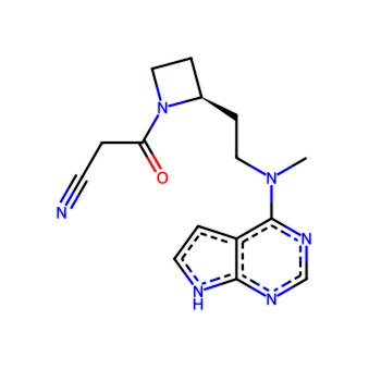 CN(CC[C@@H]1CCN1C(=O)CC#N)c1ncnc2[nH]ccc12